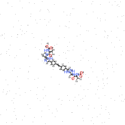 COC(=O)N[C@@H](C(=O)N[C@@H](C)c1ncc(-c2ccc(C#Cc3ccc(-c4cnc([C@@H]5CCCN5C(=O)[C@H](NC(=O)OC)C(C)C)[nH]4)cc3)cc2)[nH]1)C(C)C